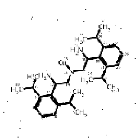 CC(C)c1cccc(C(C)C)c1C(N)C[N]([Cu])CC(N)c1c(C(C)C)cccc1C(C)C